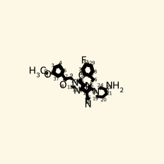 COc1cccc(C(=O)Cn2cnc3c(C#N)c(N4CCC[C@H](N)C4)n(Cc4ccc(F)cc4)c3c2=O)c1